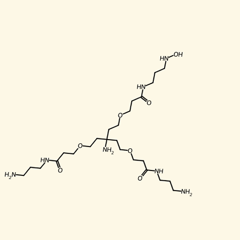 NCCCNC(=O)CCOCCC(N)(CCOCCC(=O)NCCCN)CCOCCC(=O)NCCCNO